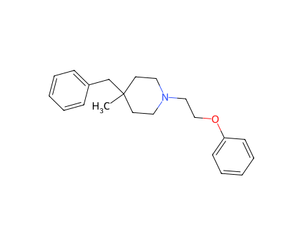 CC1(Cc2ccccc2)CCN(CCOc2ccccc2)CC1